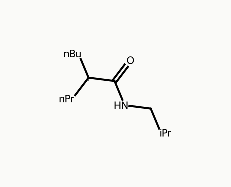 CCCC[C](CCC)C(=O)NCC(C)C